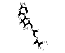 C=C(C)C(=O)OCC(=O)OCC1OC(n2ccc(N)nc2=O)C(F)(F)C1O